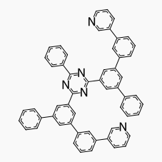 c1ccc(-c2cc(-c3cccc(-c4cccnc4)c3)cc(-c3nc(-c4ccccc4)nc(-c4cc(-c5ccccc5)cc(-c5cccc(-c6cccnc6)c5)c4)n3)c2)cc1